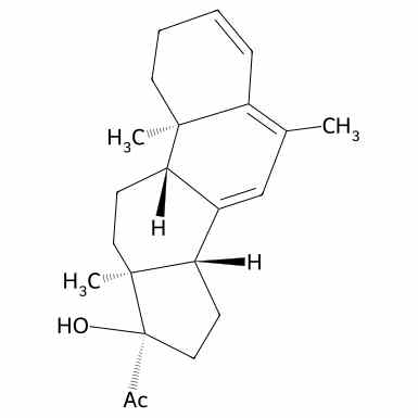 CC(=O)[C@@]1(O)CC[C@H]2C3=CC(C)=C4C=CCC[C@]4(C)[C@H]3CC[C@@]21C